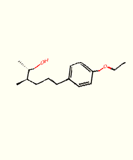 CCOc1ccc(CCC[C@@H](C)[C@H](C)O)cc1